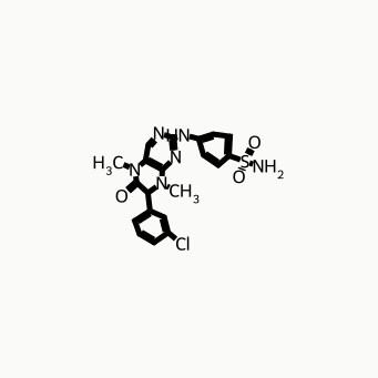 CN1C(=O)C(c2cccc(Cl)c2)N(C)c2nc(Nc3ccc(S(N)(=O)=O)cc3)ncc21